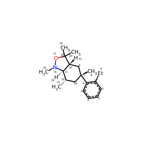 CCc1ccccc1[C@@]1(C)C[C@@H]2[C@@H]([C@@H](C)C1)N(C)OC2(C)C